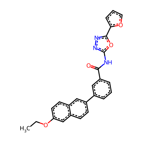 CCOc1ccc2cc(-c3cccc(C(=O)Nc4nnc(-c5ccco5)o4)c3)ccc2c1